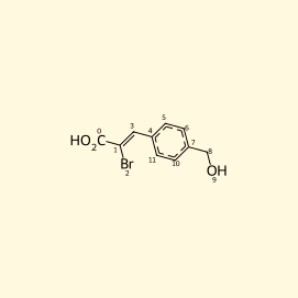 O=C(O)/C(Br)=C/c1ccc(CO)cc1